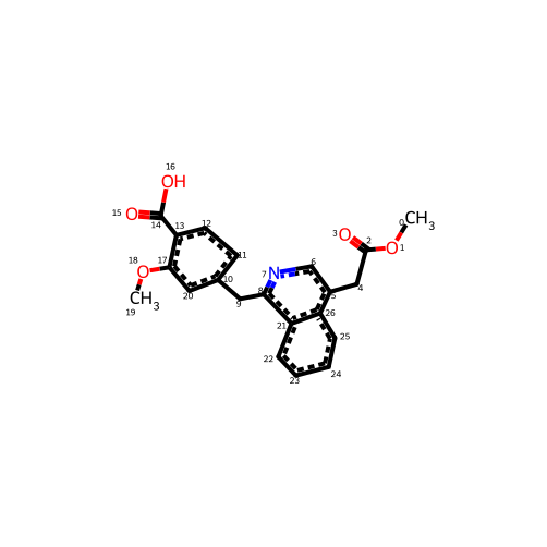 COC(=O)Cc1cnc(Cc2ccc(C(=O)O)c(OC)c2)c2ccccc12